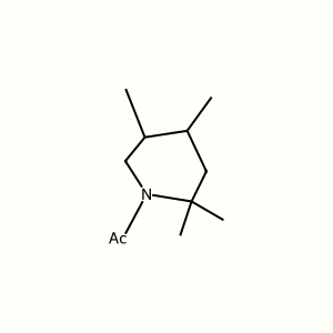 CC(=O)N1CC(C)C(C)CC1(C)C